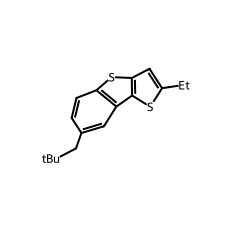 CCc1cc2sc3ccc(CC(C)(C)C)cc3c2s1